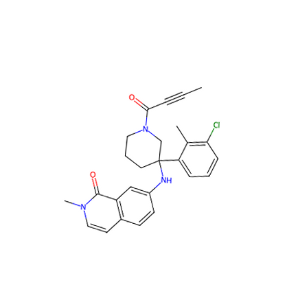 CC#CC(=O)N1CCCC(Nc2ccc3ccn(C)c(=O)c3c2)(c2cccc(Cl)c2C)C1